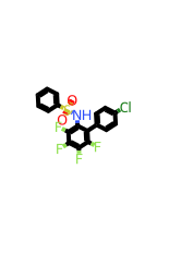 O=S(=O)(Nc1c(F)c(F)c(F)c(F)c1-c1ccc(Cl)cc1)c1ccccc1